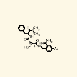 Br.CC(=O)c1ccc(CCNC(=O)[C@H]2O[C@@H]2C(=O)N[C@@H](Cc2ccccc2)C(=O)N(C)C)c(C(=N)N)c1